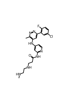 CNCCNCCC(=O)Nc1cc(Nc2cc(-c3cc(Cl)ccc3F)nnc2C)ccn1